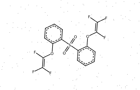 O=S(=O)(c1ccccc1OC(F)=C(F)F)c1ccccc1OC(F)=C(F)F